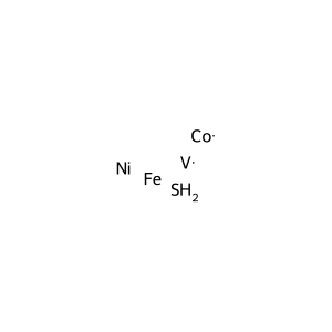 S.[Co].[Fe].[Ni].[V]